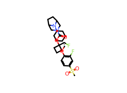 CS(=O)(=O)c1ccc(OC[C@H]2CC[C@H](N3C4CCC3CN(C(=O)OC3(CF)CCC3)C4)CC2)c(F)c1